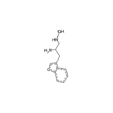 NC(CNO)Cc1coc2ccccc12